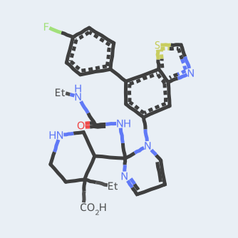 CCNC(=O)NC1(C2CNCCC2(CC)C(=O)O)N=CC=CN1c1cc(-c2ccc(F)cc2)c2scnc2c1